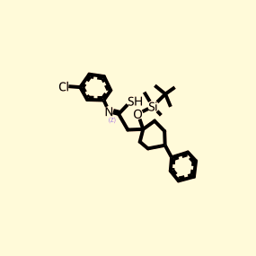 CC(C)(C)[Si](C)(C)OC1(C/C(S)=N/c2cccc(Cl)c2)CCC(c2ccccc2)CC1